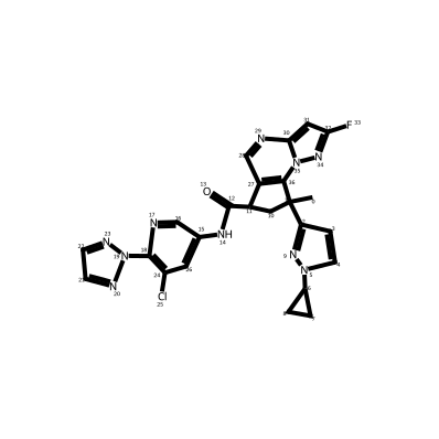 CC1(c2ccn(C3CC3)n2)CC(C(=O)Nc2cnc(-n3nccn3)c(Cl)c2)c2cnc3cc(F)nn3c21